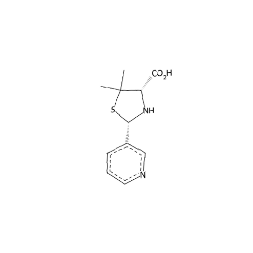 CC1(C)S[C@@H](c2cccnc2)N[C@H]1C(=O)O